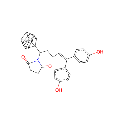 O=C1CCC(=O)N1C(CCC=C(c1ccc(O)cc1)c1ccc(O)cc1)[C]12[CH]3[CH]4[CH]5[CH]1[Fe]45321678[CH]2[CH]1[CH]6[CH]7[CH]28